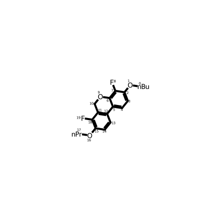 CCCCOc1ccc2c(c1F)OCc1c-2ccc(OCCC)c1F